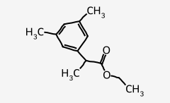 CCOC(=O)C(C)c1cc(C)cc(C)c1